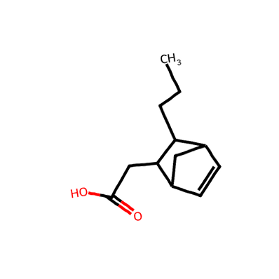 CCCC1C2C=CC(C2)C1CC(=O)O